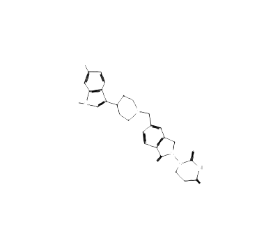 Cn1cc(C2CCN(Cc3ccc4c(c3)CN(N3CCC(=O)NC3=O)C4=O)CC2)c2ccc(F)cc21